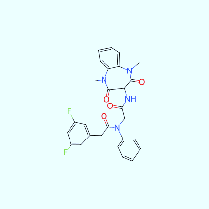 CN1C(=O)C(NC(=O)CN(C(=O)Cc2cc(F)cc(F)c2)c2ccccc2)C(=O)N(C)c2ccccc21